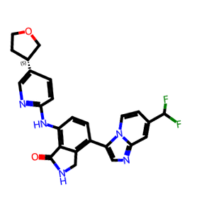 O=C1NCc2c(-c3cnc4cc(C(F)F)ccn34)ccc(Nc3ccc([C@@H]4CCOC4)cn3)c21